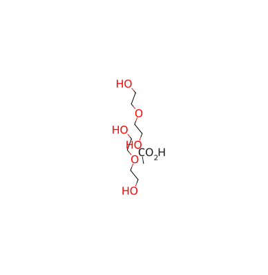 CC(=O)O.OCCOCCO.OCCOCCO